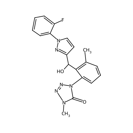 Cc1cccc(-n2nnn(C)c2=O)c1C(O)c1ccn(-c2ccccc2F)n1